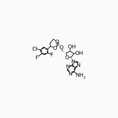 Nc1ncnc2c1ncn2[C@@H]1O[C@H](COP2OCCC(c3cc(Cl)c(F)cc3F)O2)[C@@H](O)[C@H]1O